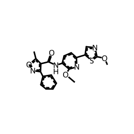 COc1ncc(-c2ccc(NC(=O)c3c(-c4ccccc4)noc3C)c(OC)n2)s1